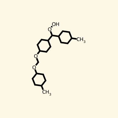 CC1CCC(OCOC2CCC(C(OO)C3CCC(C)CC3)CC2)CC1